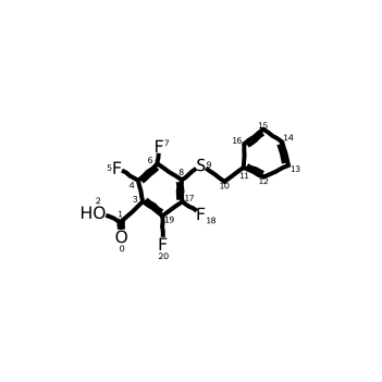 O=C(O)c1c(F)c(F)c(SCc2ccccc2)c(F)c1F